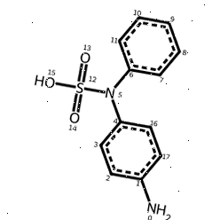 Nc1ccc(N(c2ccccc2)S(=O)(=O)O)cc1